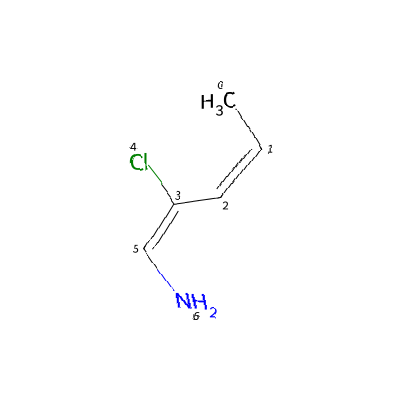 C/C=C\C(Cl)=C/N